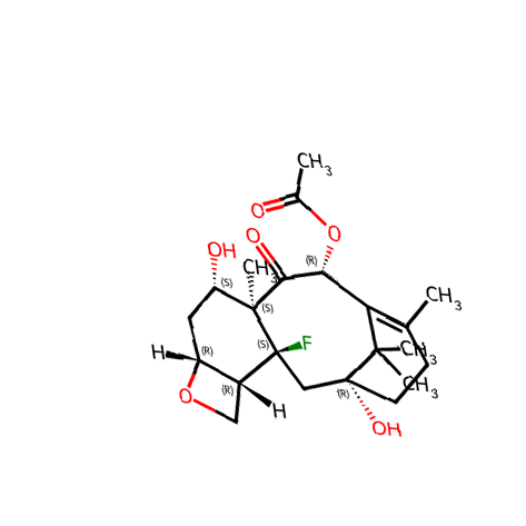 CC(=O)O[C@H]1C(=O)[C@]2(C)[C@@H](O)C[C@H]3OC[C@H]3[C@@]2(F)C[C@]2(O)CCC(C)=C1C2(C)C